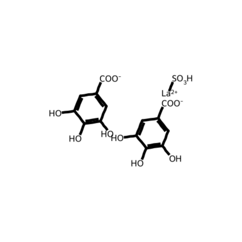 O=C([O-])c1cc(O)c(O)c(O)c1.O=C([O-])c1cc(O)c(O)c(O)c1.O=[S](=O)(O)[La+2]